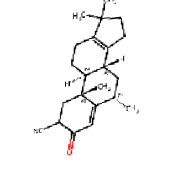 C[C@H]1C[C@H]2C3=C(CC[C@@H]2[C@@]2(C)CC(C#N)C(=O)C=C12)C(C)(C)CC3